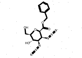 [N-]=[N+]=N[C@H]1[C@H](O)[C@@H](CO)O[C@@H](C(=O)OCc2ccccc2)[C@H]1N=[N+]=[N-]